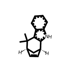 CC1(C)c2c([nH]c3ccccc23)[C@H]2C=C[C@@H]1C2